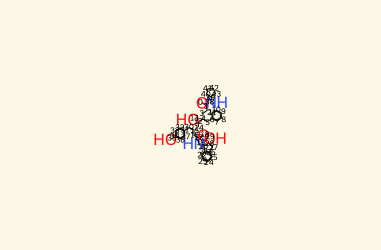 O=C(CC[C@H](Cc1ccccc1)[C@@H](O)C[C@H](CC(=O)N[C@H]1c2ccccc2C[C@H]1O)Cc1ccc(O)cc1)NC1CCCC1